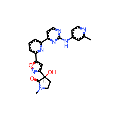 Cc1cc(Nc2nccc(-c3cccc(-c4cc([C@]5(O)CCN(C)C5=O)no4)n3)n2)ccn1